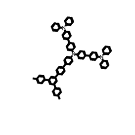 Cc1ccc(-c2cc(-c3ccc(C)cc3)cc(-c3ccc(-c4ccc(N(c5ccc(-c6ccc(N(c7ccccc7)c7ccccc7)cc6)cc5)c5ccc(-c6ccc(N(c7ccccc7)c7ccccc7)cc6)cc5)cc4)cc3)c2)cc1